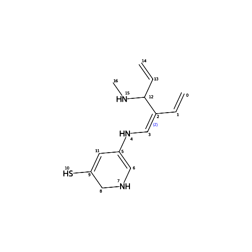 C=C/C(=C/NC1=CNCC(S)=C1)C(C=C)NC